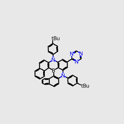 CC(C)(C)c1ccc(N2c3cc(-c4ncncn4)cc4c3B(c3c2ccc2ccccc32)c2c(ccc3ccccc23)N4c2ccc(C(C)(C)C)cc2)cc1